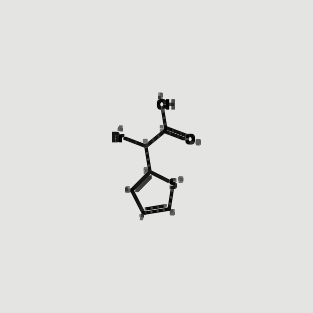 O=C(O)C(Br)c1cccs1